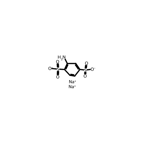 Nc1cc(S(=O)(=O)[O-])ccc1S(=O)(=O)[O-].[Na+].[Na+]